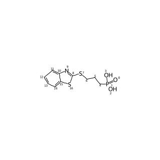 O=P(O)(O)CCCSc1nc2ccccc2s1